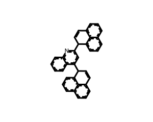 C1=CC(c2cc(C3C=Cc4cccc5cccc3c45)c3ccccc3n2)c2cccc3cccc1c23